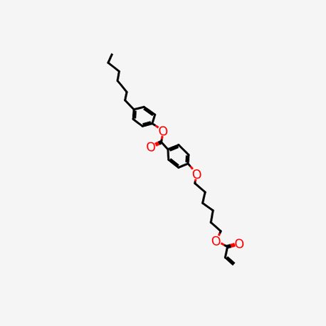 C=CC(=O)OCCCCCCOc1ccc(C(=O)Oc2ccc(CCCCCC)cc2)cc1